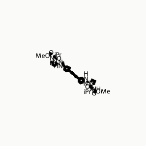 COC(=O)N[C@H](C(=O)N1CCC[C@H]1c1ncc(-c2ccc(C#CC#Cc3ccc4nc([C@@H]5CCCN5C(=O)[C@@H](NC(=O)OC)C(C)C)[nH]c4c3)cc2)[nH]1)C(C)C